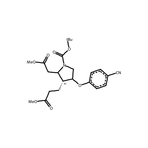 COC(=O)CC[C@H]1C(Oc2ccc(C#N)cc2)CN(C(=O)OC(C)(C)C)C1CC(=O)OC